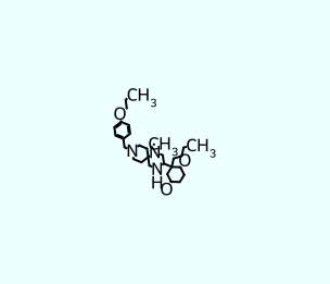 CCCCC1(C2CN(C)C3(CCN(Cc4ccc(OCCC)cc4)CC3)CN2)CC(=O)CCC1=O